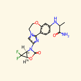 CC(Nc1ccc2c(c1)OCCn1cc(N3C(=O)O[C@@H]4[C@H]3C4(F)F)nc1-2)C(N)=O